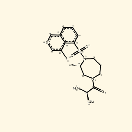 CCCC[C@@H](N)C(=O)N1CCCN(S(=O)(=O)c2cccc3cncc(F)c23)[C@@H](C)C1